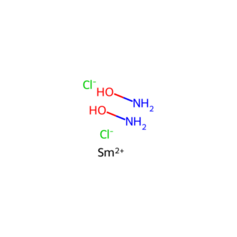 NO.NO.[Cl-].[Cl-].[Sm+2]